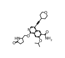 CC(C)Oc1cc2c(OCC3CCC(=O)N3)ncc(C#CC3CCOCC3)c2cc1C(N)=O